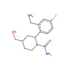 NCc1cc(F)ccc1C1CC(CO)CCN1C(N)=O